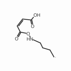 [CH2]CCCNOC(=O)/C=C\C(=O)O